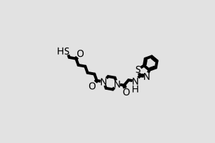 O=C(CS)CCCCC(=O)N1CCN(C(=O)CNc2nc3ccccc3s2)CC1